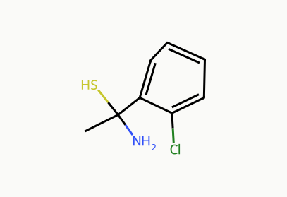 CC(N)(S)c1ccccc1Cl